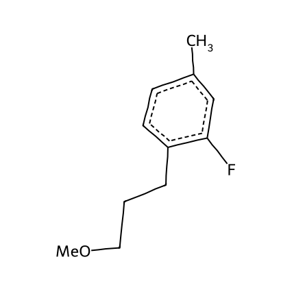 COCCCc1ccc(C)cc1F